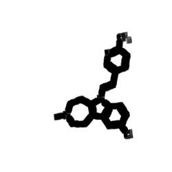 CN1CCc2c(n(/C=C/c3ccc(C(F)(F)F)nc3)c3ccc(Cl)cc23)CC1